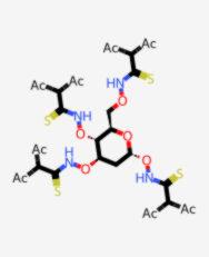 CC(=O)C(C(C)=O)C(=S)NOC[C@H]1O[C@H](ONC(=S)C(C(C)=O)C(C)=O)C[C@@H](ONC(=S)C(C(C)=O)C(C)=O)[C@@H]1ONC(=S)C(C(C)=O)C(C)=O